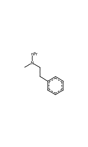 [CH2]CCN(C)CCc1ccccc1